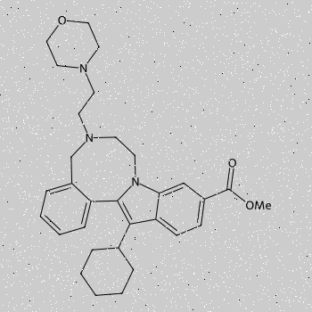 COC(=O)c1ccc2c(C3CCCCC3)c3n(c2c1)CCN(CCN1CCOCC1)Cc1ccccc1-3